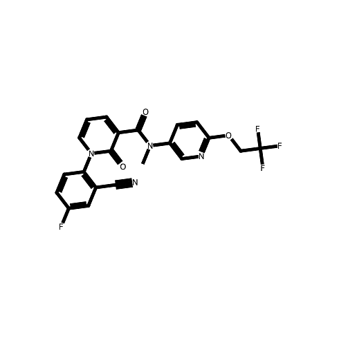 CN(C(=O)c1cccn(-c2ccc(F)cc2C#N)c1=O)c1ccc(OCC(F)(F)F)nc1